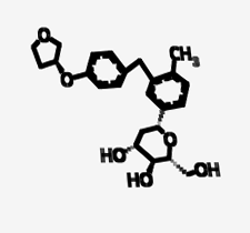 Cc1ccc([C@H]2C[C@@H](O)[C@H](O)[C@@H](CO)O2)cc1Cc1ccc(O[C@H]2CCOC2)cc1